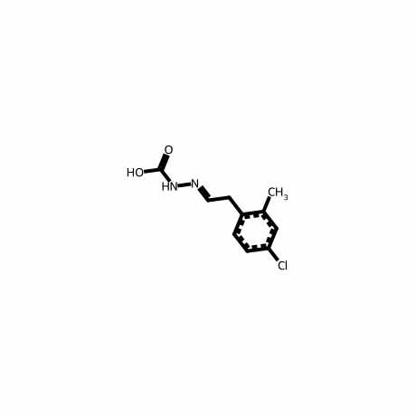 Cc1cc(Cl)ccc1CC=NNC(=O)O